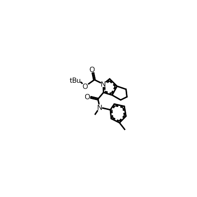 Cc1cccc(N(C)C(=O)c2c3c(cn2C(=O)OC(C)(C)C)CCC3)c1